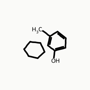 C1CCCCC1.Cc1cccc(O)c1